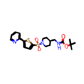 CC(C)(C)OC(=O)NCC1CCN(S(=O)(=O)c2ccc(-c3ccccn3)s2)CC1